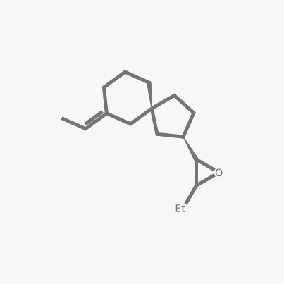 C/C=C1\CCC[C@]2(CC[C@@H](C3OC3CC)C2)C1